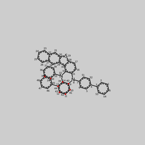 c1ccc(-c2ccc(N(c3ccccc3)c3ccc4sc5cc6ccccc6cc5c4c3N(c3ccccc3)c3ccccc3-c3ccccc3)cc2)cc1